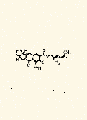 C/C=C\C=C(/C)CNC(=O)c1cn2c(c(OP)c1=O)C(=O)N1C[C@@H]3CCCN3[C@H]1C2